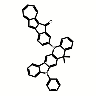 CC1(C)c2ccccc2N(c2ccc3c(c2)C(=O)c2c4cccccc-4cc2-3)c2cc3c4ccccc4n(-c4ccccc4)c3cc21